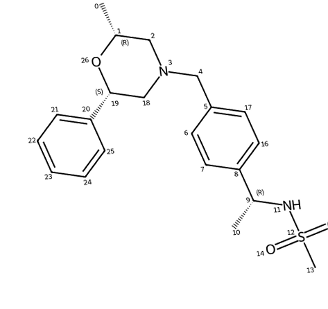 C[C@@H]1CN(Cc2ccc([C@@H](C)NS(C)(=O)=O)cc2)C[C@H](c2ccccc2)O1